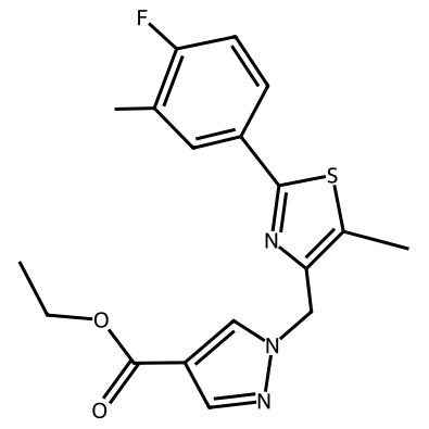 CCOC(=O)c1cnn(Cc2nc(-c3ccc(F)c(C)c3)sc2C)c1